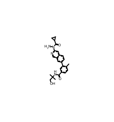 Cc1ccc(C(=O)NC(C)(C)CO)cc1-c1ccc2cc(N(N)C(=O)C3CC3)ncc2c1